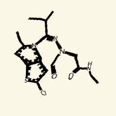 CNC(=O)CN(C=O)/N=C(/C(C)C)n1c(C)cc2sc(Cl)cc21